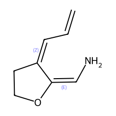 C=C/C=C1/CCO/C1=C/N